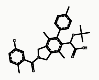 Cc1ccc(-c2c(C)c3c(c(C)c2C(OC(C)(C)C)C(=O)O)CN(C(=O)c2cc(Cl)ccc2C)C3)cc1